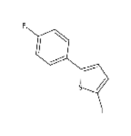 Fc1ccc(-c2ccc(I)s2)cc1